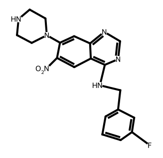 O=[N+]([O-])c1cc2c(NCc3cccc(F)c3)ncnc2cc1N1CCNCC1